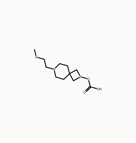 COCCN1CCC2(CC1)CN(OC(=O)O)C2